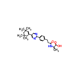 C=C(NC(=O)CCc1ccc(-c2ncc(C3=CC(C)(C)CC(C)(C)C3)cn2)cc1)C(=O)O